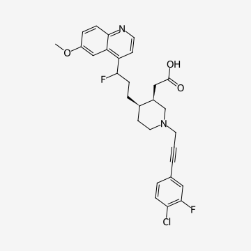 COc1ccc2nccc(C(F)CC[C@@H]3CCN(CC#Cc4ccc(Cl)c(F)c4)C[C@@H]3CC(=O)O)c2c1